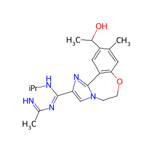 CC(=N)/N=C(\NC(C)C)c1cn2c(n1)-c1cc(C(C)O)c(C)cc1OCC2